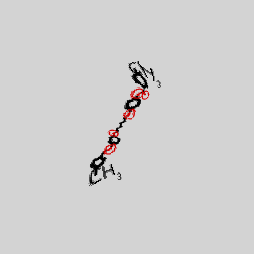 Cc1ccc(COc2ccc(OCCCCCCOc3ccc(OC(=O)c4ccc(C)cc4)cc3)cc2)cc1